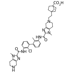 Cc1c(NC(=O)c2nc3c(n2C)CCN(CCC24CCC(C(=O)O)(CC2)C4)C3)cccc1-c1cccc(NC(=O)c2nc3c(n2C)CCNC3)c1Cl